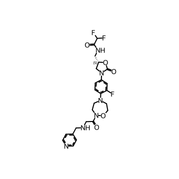 O=C(NC[C@H]1CN(c2ccc(N3CCON(C(=O)CNCc4ccncc4)CC3)c(F)c2)C(=O)O1)C(F)F